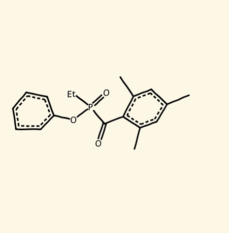 CCP(=O)(Oc1ccccc1)C(=O)c1c(C)cc(C)cc1C